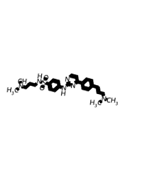 CN(C)CC=Cc1ccc(-c2ccnc(Nc3ccc(S(=O)(=O)NCCCN(C)C)cc3)n2)cc1